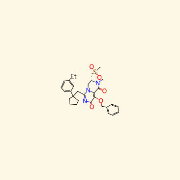 CCc1cccc(C2(Cc3nc(=O)c(OCc4ccccc4)c4n3C[C@H](CS(C)(=O)=O)N(C)C4=O)CCCC2)c1